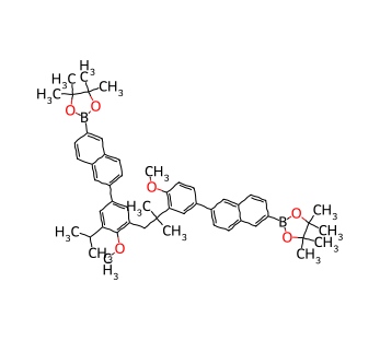 COc1ccc(-c2ccc3cc(B4OC(C)(C)C(C)(C)O4)ccc3c2)cc1C(C)(C)Cc1cc(-c2ccc3cc(B4OC(C)(C)C(C)(C)O4)ccc3c2)cc(C(C)C)c1OC